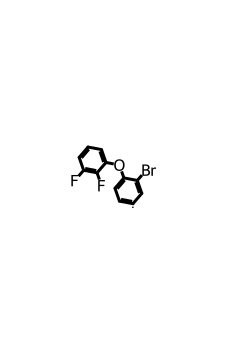 Fc1cccc(Oc2cc[c]cc2Br)c1F